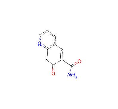 NC(=O)C1=Cc2cccnc2CC1=O